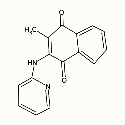 CC1=C(Nc2ccccn2)C(=O)c2ccccc2C1=O